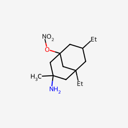 CCC1CC2(CC)CC(C)(N)CC(O[N+](=O)[O-])(C1)C2